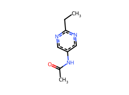 CCc1ncc(NC(C)=O)cn1